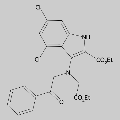 CCOC(=O)CN(CC(=O)c1ccccc1)c1c(C(=O)OCC)[nH]c2cc(Cl)cc(Cl)c12